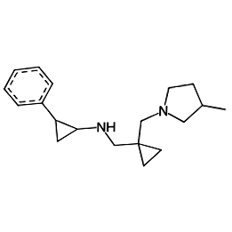 CC1CCN(CC2(CNC3CC3c3ccccc3)CC2)C1